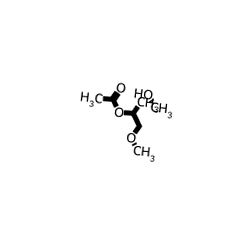 CO.COCC(C)OC(C)=O